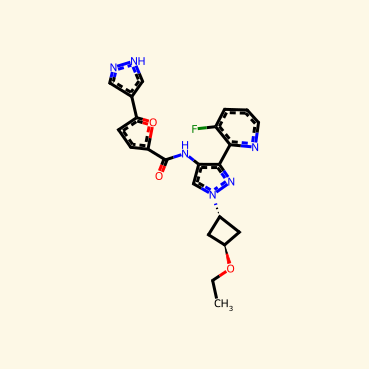 CCO[C@H]1C[C@H](n2cc(NC(=O)c3ccc(-c4cn[nH]c4)o3)c(-c3ncccc3F)n2)C1